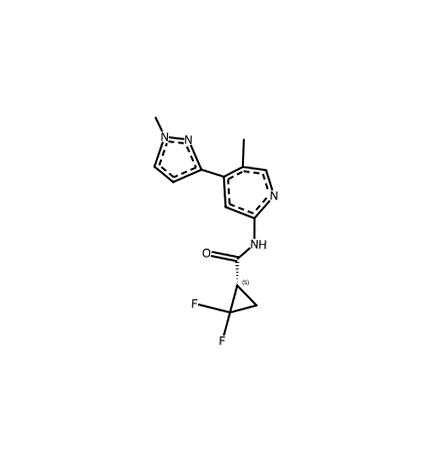 Cc1cnc(NC(=O)[C@@H]2CC2(F)F)cc1-c1ccn(C)n1